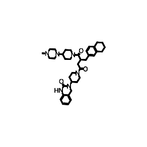 CN1CCN(C2CCN(C(=O)C(CC(=O)N3CCC(N4Cc5ccccc5NC4=O)CC3)Cc3ccc4c(c3)CCCC4)CC2)CC1